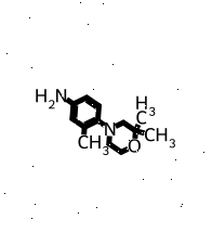 Cc1cc(N)ccc1N1CCOC(C)(C)C1